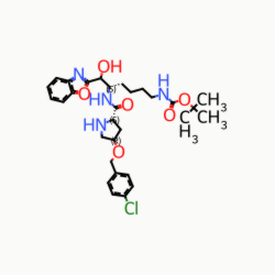 CC(C)(C)OC(=O)NCCCC[C@H](NC(=O)[C@@H]1C[C@@H](OCc2ccc(Cl)cc2)CN1)C(O)c1nc2ccccc2o1